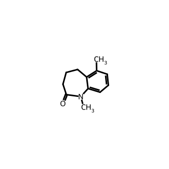 Cc1cccc2c1CCCC(=O)N2C